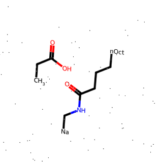 CCC(=O)O.CCCCCCCCCCCC(=O)N[CH2][Na]